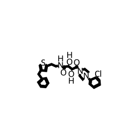 O=C(NCCc1cc(Cc2ccccc2)cs1)[C@H](O)[C@@H](O)C(=O)N1CCN(c2ccccc2Cl)CC1